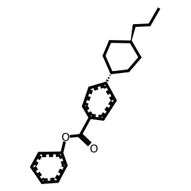 CCC[C@H]1CC[C@H](c2ccc(C(=O)Oc3ccccc3)cc2)CC1